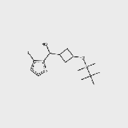 CC(C)(C)[Si](C)(C)OC1CC(C(O)c2sccc2I)C1